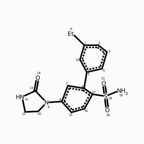 CCc1cccc(-c2cc(N3CCNC3=O)ccc2S(N)(=O)=O)c1